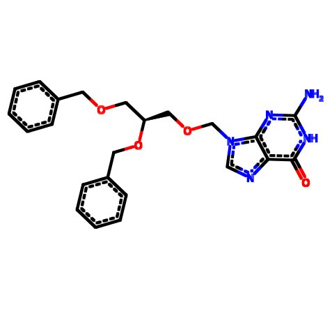 Nc1nc2c(ncn2COC[C@H](COCc2ccccc2)OCc2ccccc2)c(=O)[nH]1